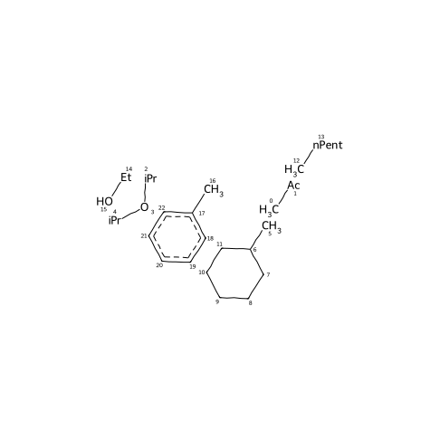 CC(C)=O.CC(C)OC(C)C.CC1CCCCC1.CCCCCC.CCO.Cc1ccccc1